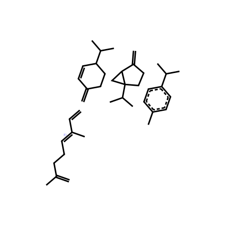 C=C/C(C)=C/CCC(=C)C.C=C1C=CC(C(C)C)CC1.C=C1CCC2(C(C)C)CC12.Cc1ccc(C(C)C)cc1